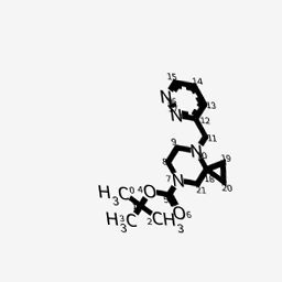 CC(C)(C)OC(=O)N1CCN(Cc2cccnn2)C2(CC2)C1